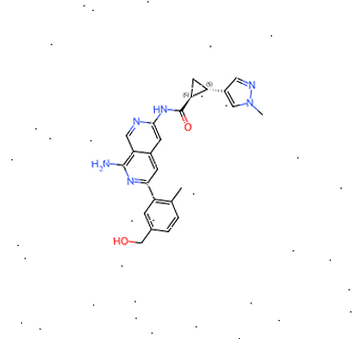 Cc1ccc(CO)cc1-c1cc2cc(NC(=O)[C@H]3C[C@@H]3c3cnn(C)c3)ncc2c(N)n1